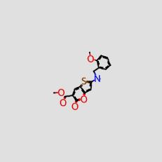 COC(=O)c1cc2sc(N(C)Cc3ccccc3OC)cc2oc1=O